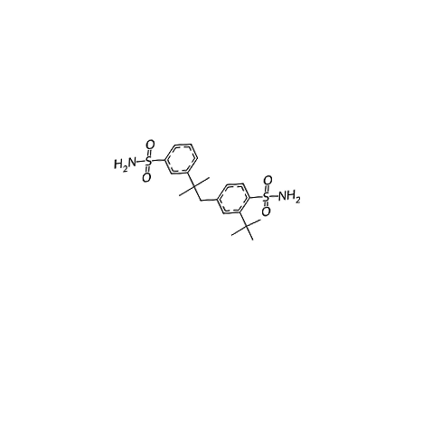 CC(C)(C)c1cc(CC(C)(C)c2cccc(S(N)(=O)=O)c2)ccc1S(N)(=O)=O